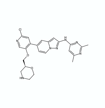 Cc1cc(Nc2cc3cc(-c4cc(Cl)ncc4OC[C@@H]4CNCCO4)ccn3n2)nc(C)n1